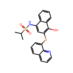 CC(C)S(=O)(=O)Nc1cc(Sc2cccc3cccnc23)c(O)c2ccccc12